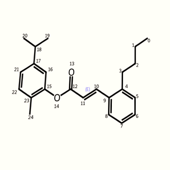 CCCCc1ccccc1/C=C/C(=O)Oc1cc(C(C)C)ccc1C